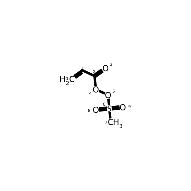 C=CC(=O)OOS(C)(=O)=O